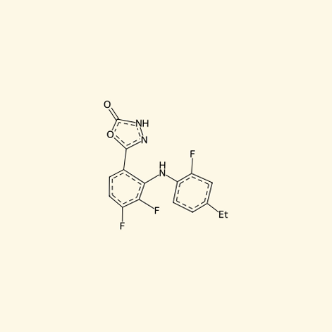 CCc1ccc(Nc2c(-c3n[nH]c(=O)o3)ccc(F)c2F)c(F)c1